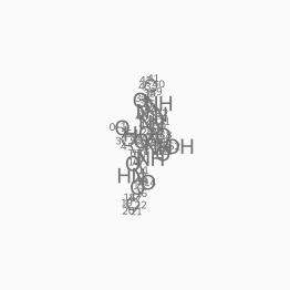 COc1ccc(C[C@H](NC(=O)CNC(=O)OCc2ccccc2)C(=O)N[C@H]2[C@@H](O)[C@H](n3cnc4c(NC(=O)c5ccccc5)ncnc43)O[C@@H]2C(=O)O)cc1